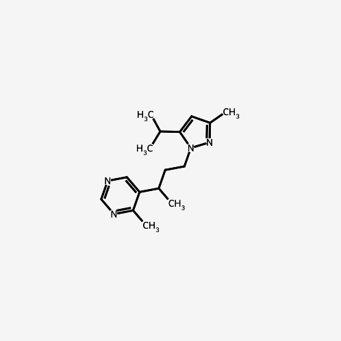 Cc1cc(C(C)C)n(CCC(C)c2cncnc2C)n1